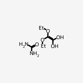 CCOC(OCC)=C(O)O.NC(N)=O